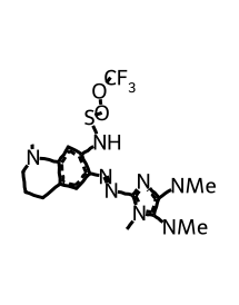 [CH2-][NH2+]c1nc(N=Nc2cc3c(cc2NSOOC(F)(F)F)N(C)CCC3)n(C)c1[NH2+][CH2-]